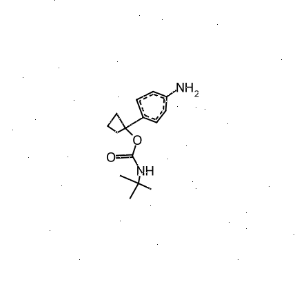 CC(C)(C)NC(=O)OC1(c2ccc(N)cc2)CCC1